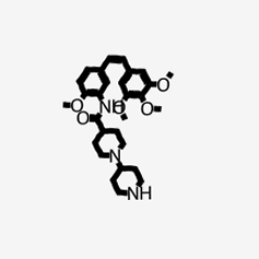 COc1ccc(/C=C\c2cc(OC)c(OC)c(OC)c2)cc1NC(=O)C1CCN(C2CCNCC2)CC1